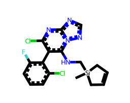 C[Si]1(CNc2c(-c3c(F)cccc3Cl)c(Cl)nc3ncnn23)CC=CC1